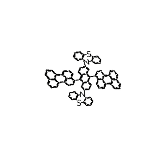 c1ccc2c(c1)Sc1ccccc1N2c1ccc2c(-c3ccc4c5cccc6cccc(c7cccc3c74)c65)c3cc(N4c5ccccc5Sc5ccccc54)ccc3c(-c3ccc4c5cccc6cccc(c7cccc3c74)c65)c2c1